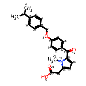 CC(C)c1ccc(COc2ccc(C(=O)c3ccc(CC(=O)O)n3C)cc2)cc1